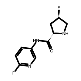 O=C(Nc1ccc(F)nc1)[C@@H]1C[C@@H](F)CN1